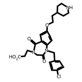 O=C(O)CCN1CC(=O)N(Cc2ccc(Cl)cc2)c2ccc(OCCC3CCNCC3)cc2C1=O